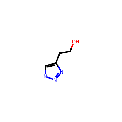 OCCC1=C[N]N=N1